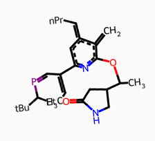 C=c1c(OC(C)C2CNC(=O)C2)nc(C(/C=P\C(CC)C(C)(C)C)=C/C)c/c1=C\CCC